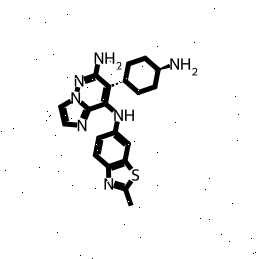 Cc1nc2ccc(Nc3c4nccn4nc(N)c3[C@H]3CC[C@H](N)CC3)cc2s1